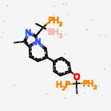 BC(C)(P)c1nc(C)c2ccc(-c3ccc(OC(C)(P)P)cc3)cn12